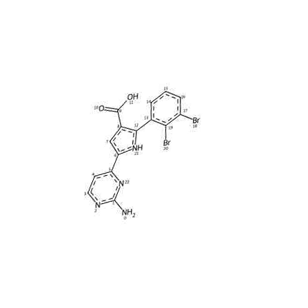 Nc1nccc(-c2cc(C(=O)O)c(-c3cccc(Br)c3Br)[nH]2)n1